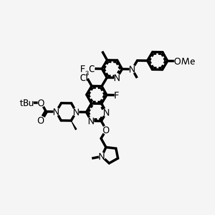 COc1ccc(CN(C)c2cc(C)c(C(F)(F)F)c(-c3c(Cl)cc4c(N5CCN(C(=O)OC(C)(C)C)C[C@@H]5C)nc(OCC5CCCN5C)nc4c3F)n2)cc1